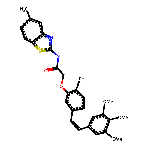 COc1cc(/C=C\c2ccc(C)c(OCC(=O)Nc3nc4cc(C)ccc4s3)c2)cc(OC)c1OC